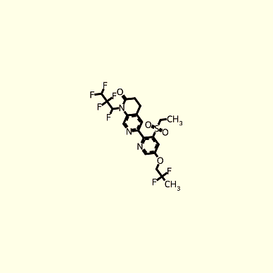 CCS(=O)(=O)c1cc(OCC(C)(F)F)cnc1-c1cc2c(cn1)N(C(F)C(F)(F)C(F)F)C(=O)CC2